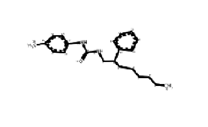 CCCCCCC(CNC(=O)Nc1ccc(C)cc1)c1ccccc1